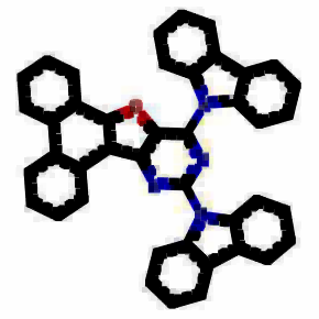 c1ccc2c(c1)c1ccccc1c1c3nc(-n4c5ccccc5c5ccccc54)nc(-n4c5ccccc5c5ccccc54)c3oc21